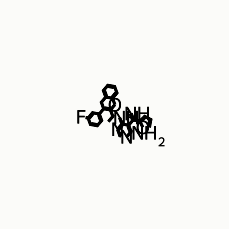 CC(Nc1ncnc(N)c1C(=N)c1ccco1)C1=C(c2cccc(F)c2)Cc2ccccc2O1